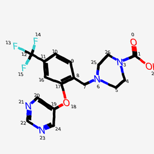 O=C(O)N1CCN(Cc2ccc(C(F)(F)F)cc2Oc2cncnc2)CC1